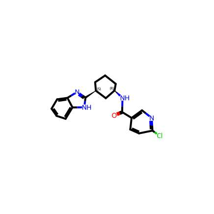 O=C(N[C@@H]1CCC[C@H](c2nc3ccccc3[nH]2)C1)c1ccc(Cl)nc1